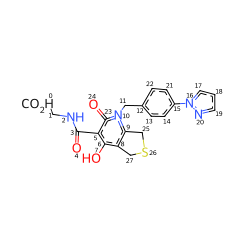 O=C(O)CNC(=O)c1c(O)c2c(n(Cc3ccc(-n4cccn4)cc3)c1=O)CSC2